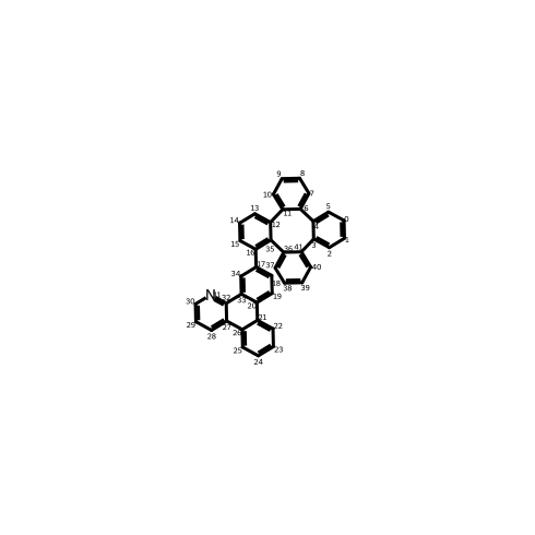 c1ccc2c(c1)-c1ccccc1-c1cccc(-c3ccc4c5ccccc5c5cccnc5c4c3)c1-c1ccccc1-2